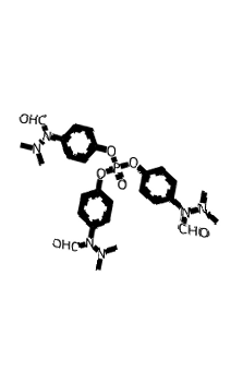 CN(C)N(C=O)c1ccc(OP(=O)(Oc2ccc(N(C=O)N(C)C)cc2)Oc2ccc(N(C=O)N(C)C)cc2)cc1